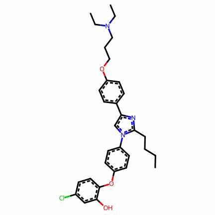 CCCCc1nc(-c2ccc(OCCCN(CC)CC)cc2)cn1-c1ccc(Oc2ccc(Cl)cc2O)cc1